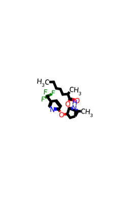 CCCCCC(C)C(=O)OC12CC(CC1Oc1ccc(C(F)(F)F)cn1)C(C)N2